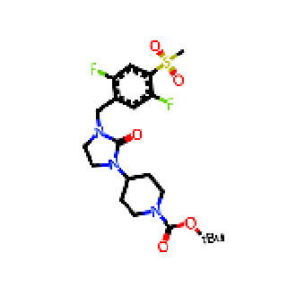 CC(C)(C)OC(=O)N1CCC(N2CCN(Cc3cc(F)c(S(C)(=O)=O)cc3F)C2=O)CC1